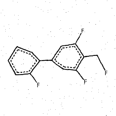 FCc1c(F)cc(-c2ccccc2F)cc1F